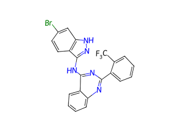 FC(F)(F)c1ccccc1-c1nc(Nc2n[nH]c3cc(Br)ccc23)c2ccccc2n1